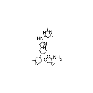 Cc1cc(-c2ccn3nc(Nc4cc(C)nc(C)n4)cc3c2)c(OCC2(C(N)=O)CC2)cn1